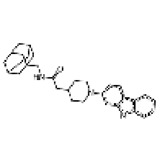 O=C(CC1CCN(c2ccn3c(c2)nc2ccccc23)CC1)NCC12CC3CC(CC(C3)C1)C2